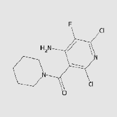 Nc1c(F)c(Cl)nc(Cl)c1C(=O)N1CCCCC1